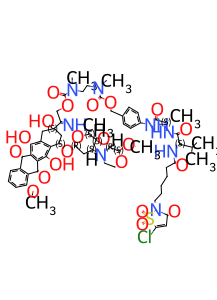 COc1cccc2c1C(=O)c1c(O)c3c(c(O)c1C2=O)C[C@@](O)(C(=N)COC(=O)N(C)CCN(C)C(=O)OCc1ccc(NC(=O)[C@H](C)NC(=O)[C@@H](NC(=O)CCCCCN2C(=O)C=C(Cl)S2(=O)=O)C(C)C)cc1)C[C@@H]3O[C@H]1C[C@H]2[C@H](O[C@@H]3[C@@H](OC)OCCN32)[C@H](C)O1